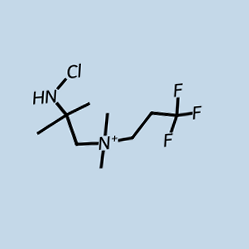 CC(C)(C[N+](C)(C)CCC(F)(F)F)NCl